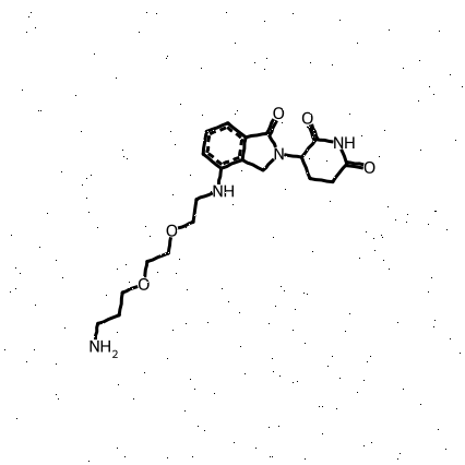 NCCCOCCOCCNc1cccc2c1CN(C1CCC(=O)NC1=O)C2=O